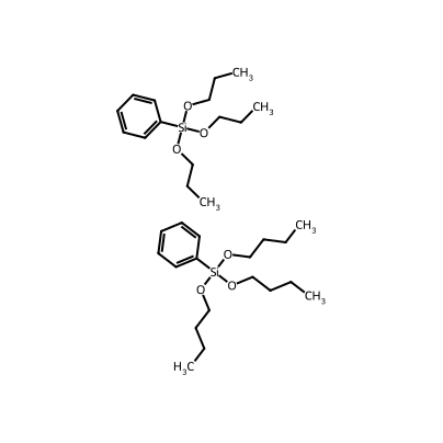 CCCCO[Si](OCCCC)(OCCCC)c1ccccc1.CCCO[Si](OCCC)(OCCC)c1ccccc1